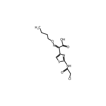 CCCCON=C(C(=O)O)c1csc(NC(=O)CCl)n1